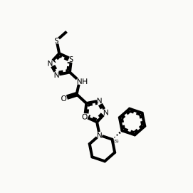 CSc1nnc(NC(=O)c2nnc(N3CCCC[C@H]3c3ccccc3)o2)s1